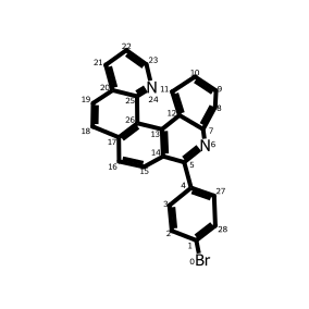 Brc1ccc(-c2nc3ccccc3c3c2ccc2ccc4cccnc4c23)cc1